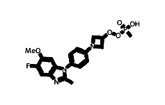 COc1cc2c(cc1F)nc(C)n2-c1ccc(N2CC(OOP(C)(=O)O)C2)cc1